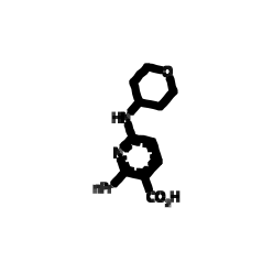 CCCc1nc(NC2CCOCC2)ccc1C(=O)O